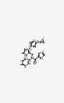 O=C(c1ccco1)N1Cc2c(-c3noc(C4CC4)n3)ncn2-c2ccccc21